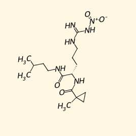 CC(C)CCNC(=O)[C@H](CCCNC(=N)N[N+](=O)[O-])NC(=O)C1(C)CC1